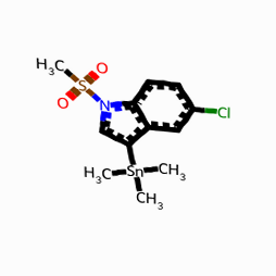 CS(=O)(=O)n1c[c]([Sn]([CH3])([CH3])[CH3])c2cc(Cl)ccc21